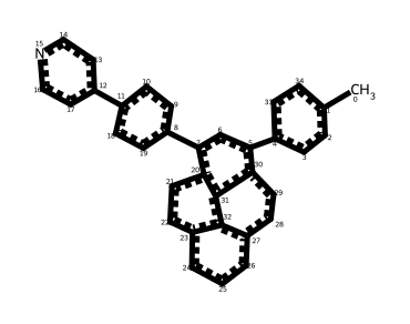 Cc1ccc(-c2cc(-c3ccc(-c4ccncc4)cc3)c3ccc4cccc5ccc2c3c54)cc1